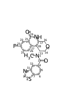 CN(C(=O)c1ccc2scnc2c1)[C@H]1COCc2[nH]c(=O)c3cc(F)ccc3c21